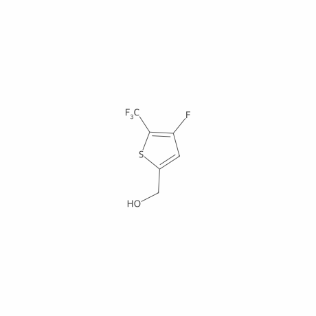 OCc1cc(F)c(C(F)(F)F)s1